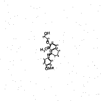 COc1ccc(/N=C2\CCCc3ccc(OCCO)c(C)c32)cc1